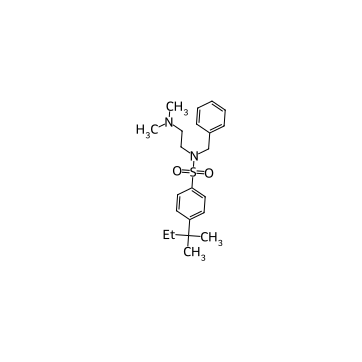 CCC(C)(C)c1ccc(S(=O)(=O)N(CCN(C)C)Cc2ccccc2)cc1